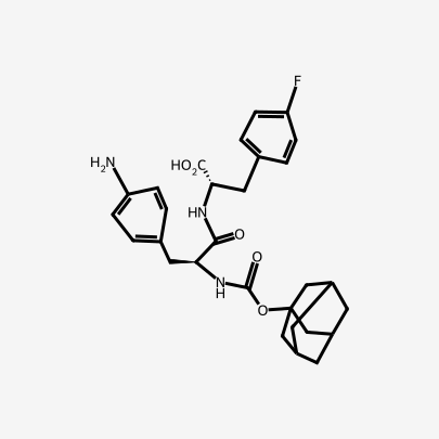 Nc1ccc(C[C@H](NC(=O)OC23CC4CC(CC(C4)C2)C3)C(=O)N[C@@H](Cc2ccc(F)cc2)C(=O)O)cc1